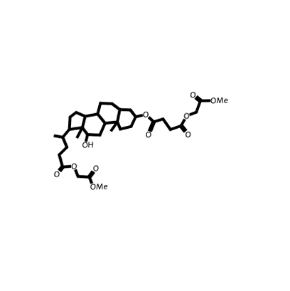 COC(=O)COC(=O)CCC(=O)OC1CCC2(C)C(CCC3C2CC(O)C2(C)C(C(C)CCC(=O)OCC(=O)OC)CCC32)C1